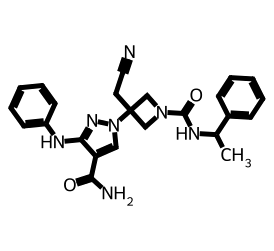 CC(NC(=O)N1CC(CC#N)(n2cc(C(N)=O)c(Nc3ccccc3)n2)C1)c1ccccc1